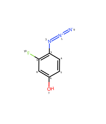 [N-]=[N+]=Nc1ccc(O)cc1F